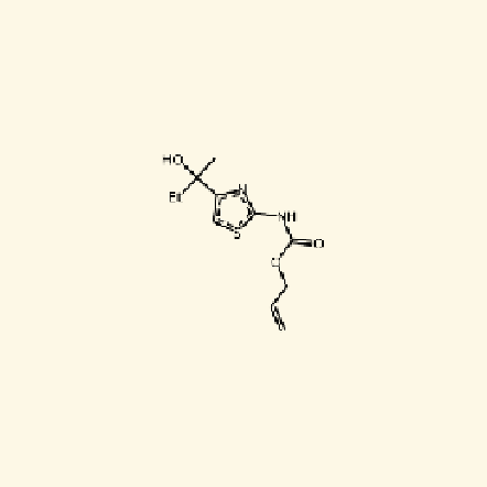 C=CCOC(=O)Nc1nc(C(C)(O)CC)cs1